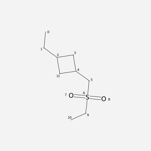 CCC1CC(CS(=O)(=O)CC)C1